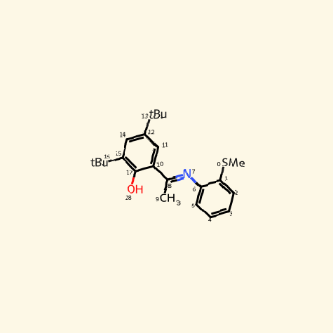 CSc1ccccc1/N=C(\C)c1cc(C(C)(C)C)cc(C(C)(C)C)c1O